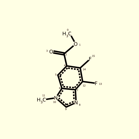 COC(=O)c1cc2c(ncn2C)c(F)c1F